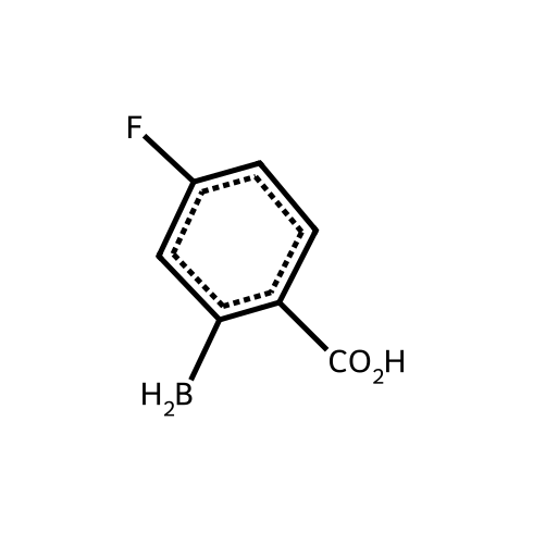 Bc1cc(F)ccc1C(=O)O